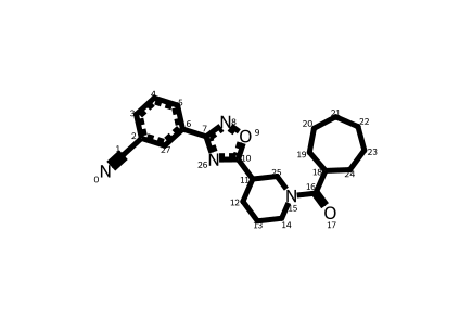 N#Cc1cccc(-c2noc(C3CCCN(C(=O)C4CCCCCC4)C3)n2)c1